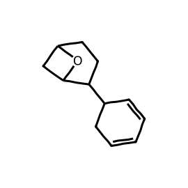 C1=CCC(C2CCC3CC2O3)C=C1